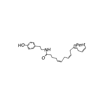 CCCCC/C=C\C/C=C\C/C=C\C/C=C\CCCC(=O)NCCc1ccc(O)cc1